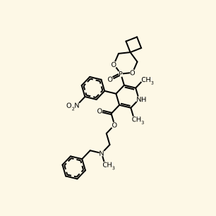 CC1=C(C(=O)OCCN(C)Cc2ccccc2)C(c2cccc([N+](=O)[O-])c2)C(P2(=O)OCC3(CCC3)CO2)=C(C)N1